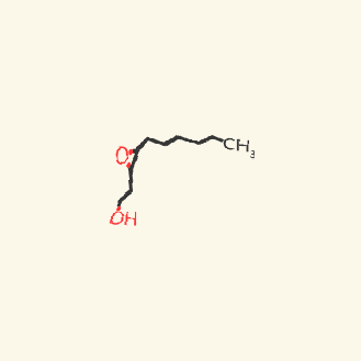 CCCCCCC1OC1CCO